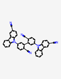 N#Cc1ccc2c(c1)c1ccccc1n2-c1ccc(C#N)c(-c2cc(-n3c4ccccc4c4cc(C#N)ccc43)ccc2C#N)c1